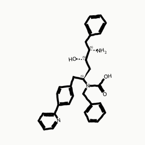 N[C@@H](Cc1ccccc1)[C@@H](O)C[C@H](Cc1ccc(-c2ccccn2)cc1)N(Cc1ccccc1)C(=O)O